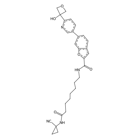 N#CC1(NC(=O)CCCCCCCNC(=O)c2cc3ccc(-c4ccc(C5(O)COC5)nc4)cc3o2)CC1